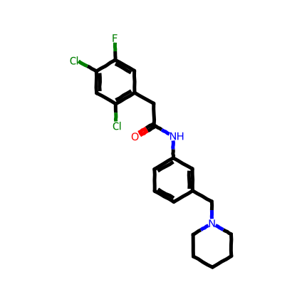 O=C(Cc1cc(F)c(Cl)cc1Cl)Nc1cccc(CN2CCCCC2)c1